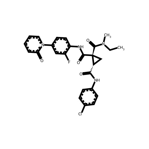 CCN(C)C(=O)[C@@]1(C(=O)Nc2ccc(-n3ccccc3=O)cc2F)C[C@@H]1C(=O)Nc1ccc(Cl)cc1